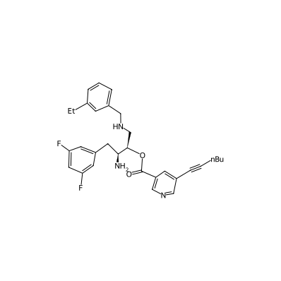 CCCCC#Cc1cncc(C(=O)O[C@H](CNCc2cccc(CC)c2)[C@@H](N)Cc2cc(F)cc(F)c2)c1